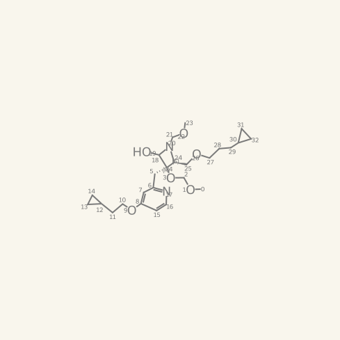 COCO[C@@]1(Cc2cc(OCCC3CC3)ccn2)C(O)N(COC)[C@H]1COCCCC1CC1